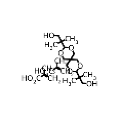 C=C(C)C(=O)O.C=C(C)C(=O)O.CC(C)(CO)C1OCC2(CO1)COC(C(C)(C)CO)OC2